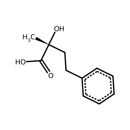 C[C@@](O)(CCc1ccccc1)C(=O)O